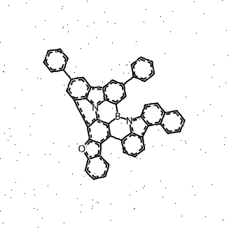 c1ccc(-c2cc3c4c(c2)c2cc(-c5ccccc5)cc5c6c7oc8ccccc8c7c7c(c6n4c25)B3n2c3ccc4ccccc4c3c3cccc-7c32)cc1